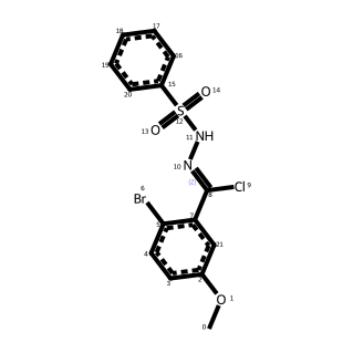 COc1ccc(Br)c(/C(Cl)=N/NS(=O)(=O)c2ccccc2)c1